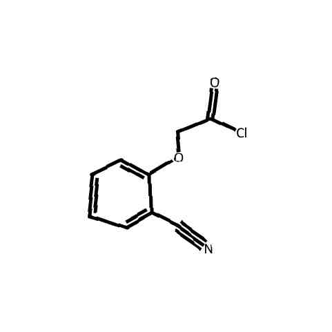 N#Cc1ccccc1OCC(=O)Cl